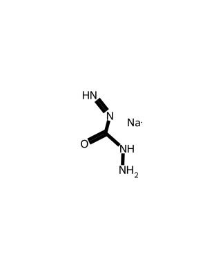 N=NC(=O)NN.[Na]